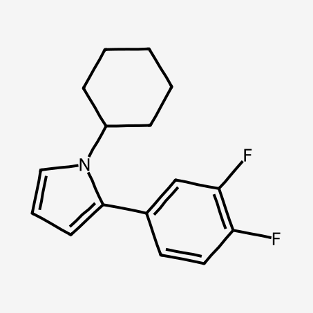 Fc1ccc(-c2cccn2C2CCCCC2)cc1F